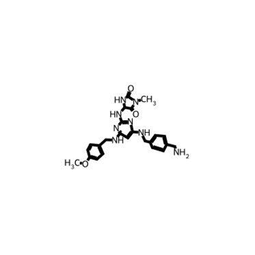 COc1ccc(CNc2cc(NCc3ccc(CN)cc3)nc(NC3NC(=O)N(C)C3=O)n2)cc1